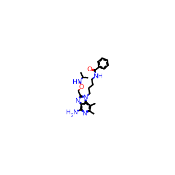 Cc1nc(N)c2nc(CONC(C)C)n(CCCCNC(=O)c3ccccc3)c2c1C